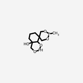 CP1OCC2(CCCC3(O)COPOC32)CO1